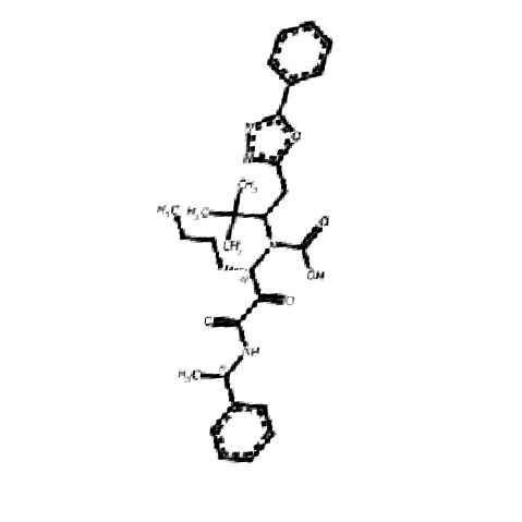 CCCC[C@@H](C(=O)C(=O)N[C@H](C)c1ccccc1)N(C(=O)O)C(Cc1nnc(-c2ccccc2)o1)C(C)(C)C